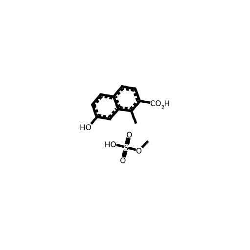 COS(=O)(=O)O.Cc1c(C(=O)O)ccc2ccc(O)cc12